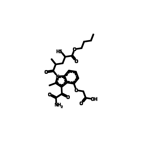 CCCCOC(=O)C(S)CC(C)C(=O)n1c(C)c(C(=O)C(N)=O)c2c(OCC(=O)O)cccc21